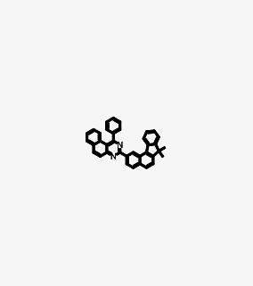 CC1(C)c2ccccc2-c2c1ccc1ccc(-c3nc(-c4ccccc4)c4c(ccc5ccccc54)n3)cc21